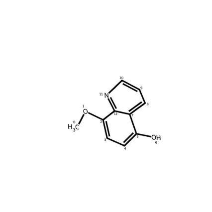 COc1ccc(O)c2cccnc12